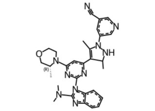 CC1=C(c2cc(N3CCOC[C@H]3C)nc(-n3c(N(C)C)nc4ccccc43)n2)C(C)NN1c1cncc(C#N)c1